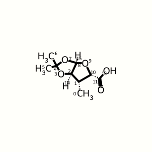 C[C@@H]1[C@H]2OC(C)(C)O[C@H]2O[C@@H]1C(=O)O